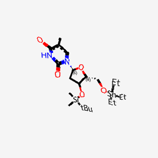 C[CH2][Sn]([CH2]C)([CH2]C)[O]C[C@H]1O[C@@H](n2cc(C)c(=O)[nH]c2=O)CC1O[Si](C)(C)C(C)(C)C